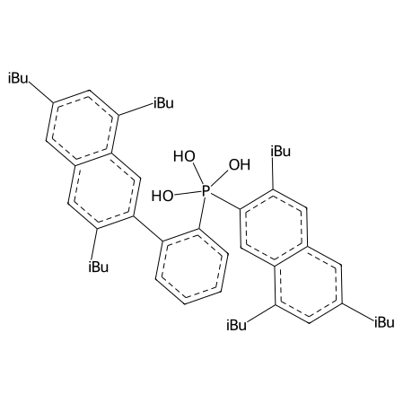 CCC(C)c1cc(C(C)CC)c2cc(-c3ccccc3P(O)(O)(O)c3cc4c(C(C)CC)cc(C(C)CC)cc4cc3C(C)CC)c(C(C)CC)cc2c1